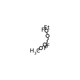 CCC1CCC(C2CCC(CCCC3CCC(C4CCC(C)CC4)C(F)C3F)CC2)CC1F